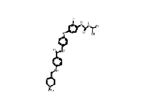 CCCCN1CCC(CNc2ccc(C(=O)Nc3ccc(Oc4ccc(NC(=O)NC(CC)CC)c(F)c4)cc3)cc2)CC1